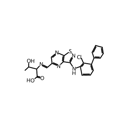 CC(O)C(N=Cc1cnc2snc(Nc3cccc(-c4ccccc4)c3Cl)c2n1)C(=O)O